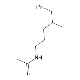 C=C(C)NCCCC(C)CC(C)C